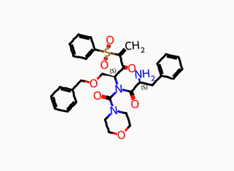 C=C(C(=O)[C@H](COCc1ccccc1)N(C(=O)[C@@H](N)Cc1ccccc1)C(=O)N1CCOCC1)S(=O)(=O)c1ccccc1